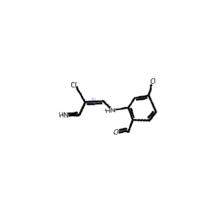 N=C/C(Cl)=C\Nc1cc(Cl)ccc1C=O